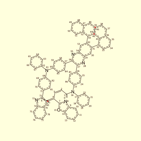 C=C(/C=C\C(=C/C)c1nc2ccccc2o1)N(c1ccccc1)c1ccc(-c2nc3cc(-c4cccc5ccccc45)c(-c4cccc5ccccc45)cc3nc2-c2ccc(N(c3ccccc3)c3ccc(-c4nc5ccccc5o4)cc3)cc2)cc1